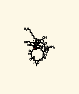 CC[C@H](C)[C@@H]1NC(=O)CNC(=O)C2Cc3c([nH]c4cc(OCCCCCCN)ccc34)[S+]([O-])CC(NC(=O)CNC1=O)C(=O)N[C@@H](CC(N)=O)C(=O)N1CC(O)C[C@H]1C(=O)N[C@@H]([C@@H](C)[C@@H](O)CO)C(=O)N2